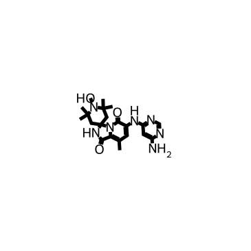 Cc1cc(Nc2cc(N)ncn2)c(=O)n2c1C(=O)NC21CC(C)(C)N(O)C(C)(C)C1